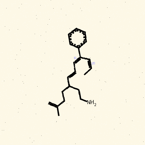 C=C(C)CCC(C=C/C=C(\C=C/C)c1ccccc1)CCN